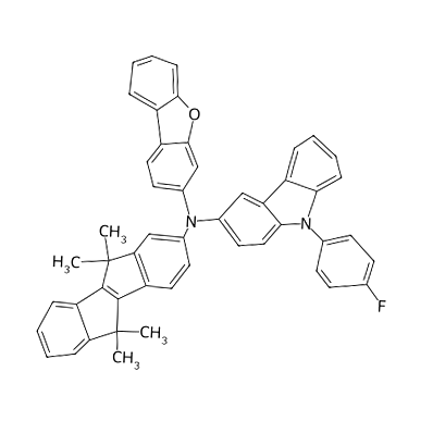 CC1(C)C2=C(c3ccccc31)C(C)(C)c1cc(N(c3ccc4c(c3)oc3ccccc34)c3ccc4c(c3)c3ccccc3n4-c3ccc(F)cc3)ccc12